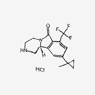 CC1(c2cc3c(c(C(F)(F)F)c2)C(=O)N2CCNC[C@@H]32)CC1.Cl